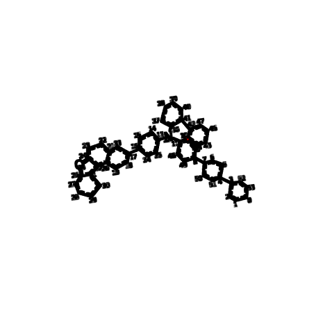 c1ccc(-c2ccc(-c3ccc(N(c4ccc(-c5ccc6c(ccc7oc8ccccc8c76)c5)cc4)c4ccccc4-c4ccccc4)cc3)cc2)cc1